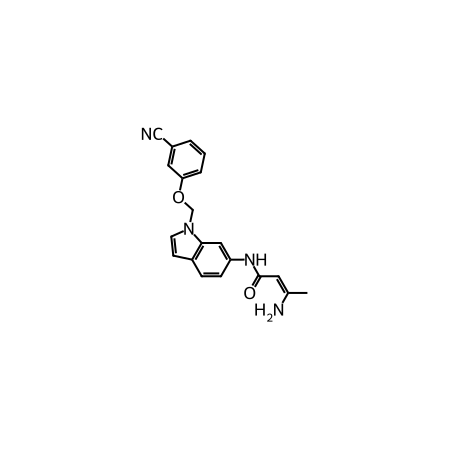 CC(N)=CC(=O)Nc1ccc2ccn(COc3cccc(C#N)c3)c2c1